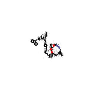 COc1cc2cc(c1Cl)N(C)C(=O)CC1(OC(=O)[C@H](C)N(C)C(=O)CCCN(C)C(=O)OCc3ccc(NC(=O)[C@H](CCCNC(N)=O)NC(=O)[C@@H](NC(=O)OCC4c5ccccc5-c5ccccc54)C(C)C)cc3)CC([C@H](C)[C@@H]3C[C@@](O)(NC(=O)O3)[C@H](OC)/C=C/C=C(\C)C2)[C@@]1(C)O